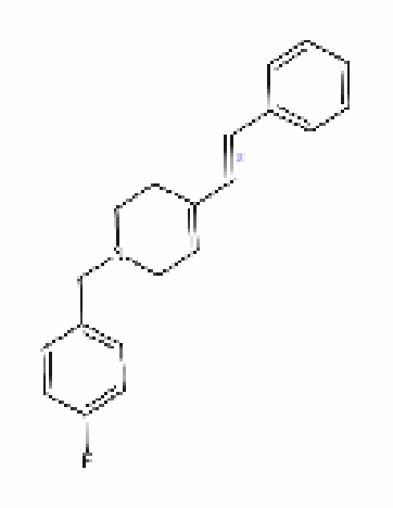 Fc1ccc(CN2CC=C(/C=C/c3ccccc3)CC2)cc1